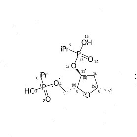 CC(C)P(=O)(O)OC[C@H]1O[C@@H](C)C[C@@H]1OP(=O)(O)C(C)C